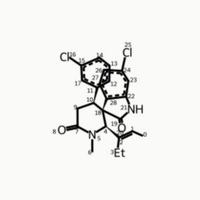 CC=C(CC)[C@H]1N(C)C(=O)C[C@@H](c2cccc(Cl)c2)[C@]12C(=O)Nc1cc(Cl)ccc12